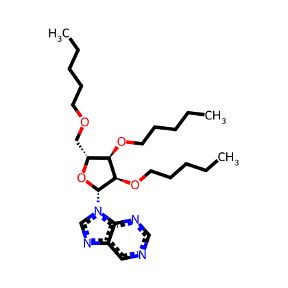 CCCCCOC[C@H]1O[C@@H](n2cnc3cncnc32)[C@H](OCCCCC)[C@@H]1OCCCCC